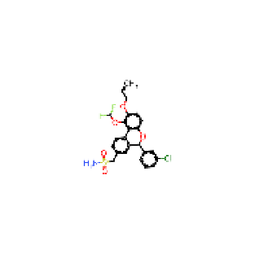 C=CCOc1ccc2c(c1OC(F)F)-c1ccc(CS(N)(=O)=O)cc1C(c1cccc(Cl)c1)O2